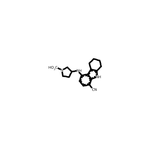 N#Cc1ccc(NC2CCN(C(=O)O)C2)c2c3c([nH]c12)CCCC3